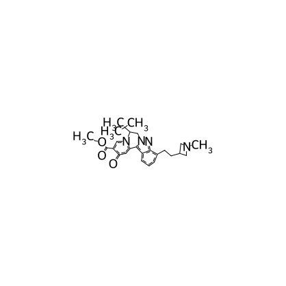 CCOC(=O)c1cn2c(cc1=O)-c1c3cccc(CCC4CN(C)C4)c3nn1CC2C(C)(C)C